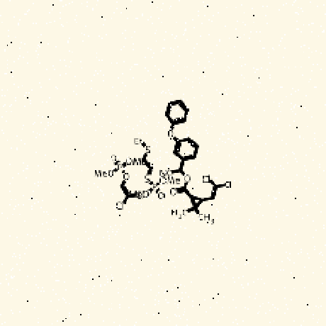 CC1(C)C(C=C(Cl)Cl)C1C(=O)OC(C#N)c1cccc(Oc2ccccc2)c1.CCSCCSP(=O)(OC)OC.COP(=O)(OC)OC=C(Cl)Cl